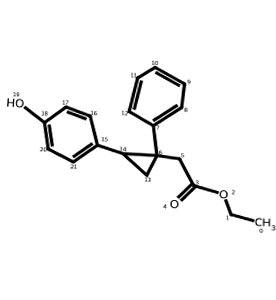 CCOC(=O)CC1(c2ccccc2)CC1c1ccc(O)cc1